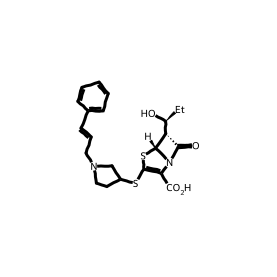 CC[C@H](O)[C@@H]1C(=O)N2C(C(=O)O)=C(SC3CCN(C/C=C/c4ccccc4)C3)S[C@H]12